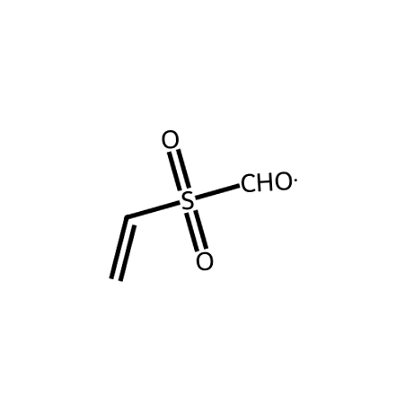 C=CS(=O)(=O)[C]=O